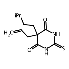 C=CCC1(CCC(C)C)C(=O)NC(=S)NC1=O